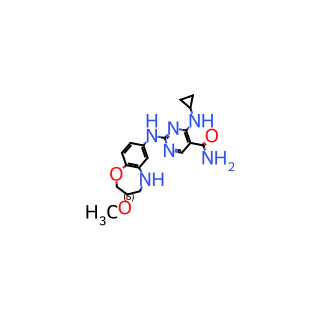 CO[C@H]1CNc2cc(Nc3ncc(C(N)=O)c(NC4CC4)n3)ccc2OC1